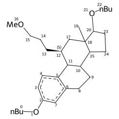 CCCCOc1ccc2c(c1)CCC1C2[C@@H](CCCOC)CC2(C)C(OCCCC)CCC12